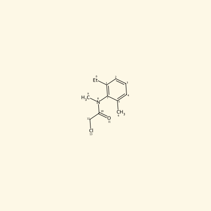 CCc1cccc(C)c1N(C)C(=O)CCl